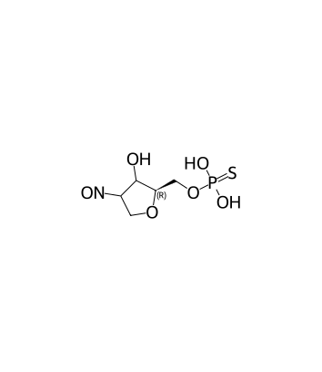 O=NC1CO[C@H](COP(O)(O)=S)C1O